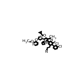 CCOc1ncccc1OC1CC(c2cc3c(C)nc4c(F)c(-c5cccc(Cl)c5Cl)c(CCC#N)cc4c3n2C2C3CNC2C3)N(C(=O)C2CC2)C1